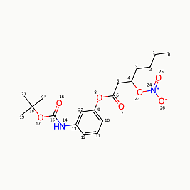 CCCCC(CC(=O)Oc1cccc(NC(=O)OC(C)(C)C)c1)O[N+](=O)[O-]